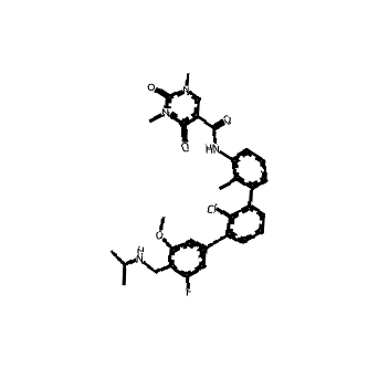 COc1cc(-c2cccc(-c3cccc(NC(=O)c4cn(C)c(=O)n(C)c4=O)c3C)c2Cl)cc(F)c1CNC(C)C